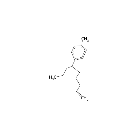 C=CCCCC(CCC)c1ccc(C)cc1